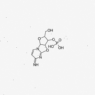 N=c1ccn2c(n1)OC1C(OP(=O)(O)O)C(CO)OC12